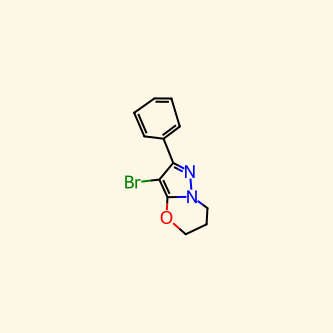 Brc1c(-c2ccccc2)nn2c1OCCC2